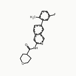 Cc1ccc(F)cc1-c1ccc2cc(NC(=O)C3CCOCC3)ncc2c1